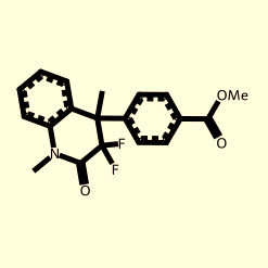 COC(=O)c1ccc(C2(C)c3ccccc3N(C)C(=O)C2(F)F)cc1